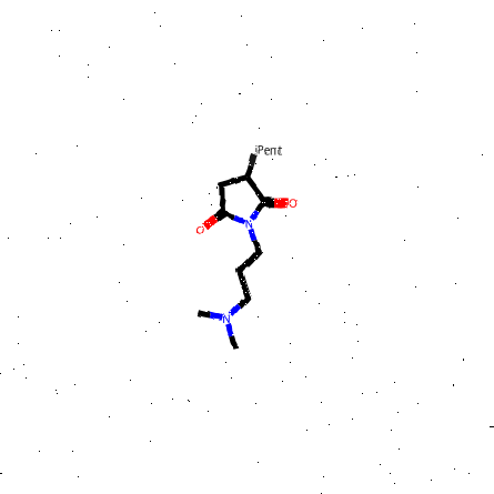 CCCC(C)C1CC(=O)N(CCCN(C)C)C1=O